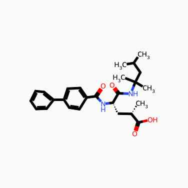 CC(C)CC(C)(C)NC(=O)[C@H](C[C@H](C)C(=O)O)NC(=O)c1ccc(-c2ccccc2)cc1